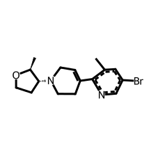 Cc1cc(Br)cnc1C1=CCN([C@@H]2CCO[C@H]2C)CC1